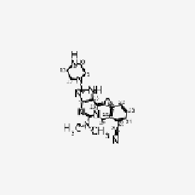 CN(C)c1nc2nc(N3CCNCC3)[nH]c2c(=O)n1Cc1ccccc1C#N